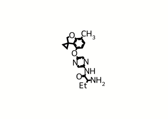 CCC(N)C(=O)Nc1cnc(Oc2ccc(C)c3c2C2(CC2)CO3)cn1